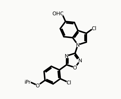 CC(C)Oc1ccc(-c2nc(-n3cc(Cl)c4cc(C=O)ccc43)no2)c(Cl)c1